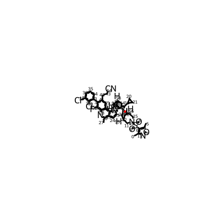 Cc1noc(C)c1S(=O)(=O)N1C[C@@H]2C[C@H](C1)N(C(=O)C1CC1)[C@H]2c1cc2c(C)nc3c(F)c(-c4cccc(Cl)c4Cl)c(CCC#N)cc3c2n1[C@H]1[C@H]2CN[C@@H]1C2